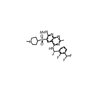 CNc1nc2nc(C)nc(N[C@H](C)c3cccc(C(F)F)c3F)c2cc1S(=O)(=O)C1CCN(C)CC1